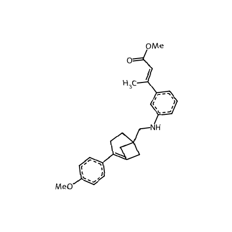 COC(=O)/C=C(\C)c1cccc(NCC23CCC(c4ccc(OC)cc4)=C(C2)C3)c1